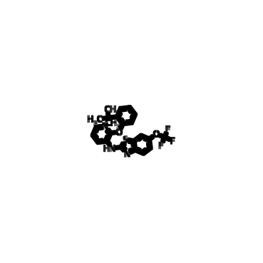 CC(C)(C)c1ccccc1Oc1ncccc1Nc1nc2ccc(OC(F)(F)F)cc2s1